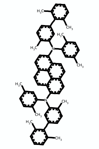 Cc1ccc(C)c(N(c2cc(-c3c(C)cccc3C)ccc2C)c2ccc3ccc4c(N(c5cc(C)ccc5C)c5cc(-c6c(C)cccc6C)ccc5C)ccc5ccc2c3c54)c1